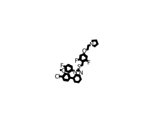 COc1cc(C2CCCc3nc(SCc4c(F)cc(OCCN5CCCC5)cc4F)n(-c4ccc(F)cc4)c32)ccc1Cl